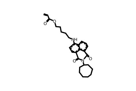 C=CC(=O)OCCCCCNc1ccc2c3c(cccc13)C(=O)N(C1CCCCCCC1)C2=O